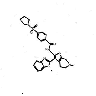 CN1CCc2c(sc(NC(=O)c3ccc(S(=O)(=O)N4CCCC4)cc3)c2-c2nc3ccccc3s2)C1